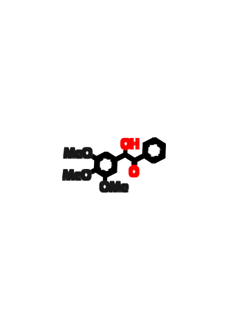 COc1cc(C(O)C(=O)c2ccccc2)cc(OC)c1OC